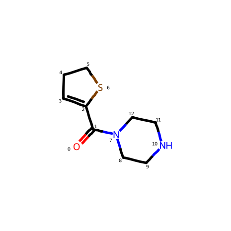 O=C(C1=CCCS1)N1CCNCC1